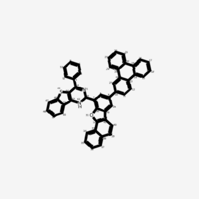 c1ccc(C2=NC(c3cc(-c4ccc5c6ccccc6c6ccccc6c5c4)cc4c3oc3c5ccccc5ccc43)Nc3c2sc2ccccc32)cc1